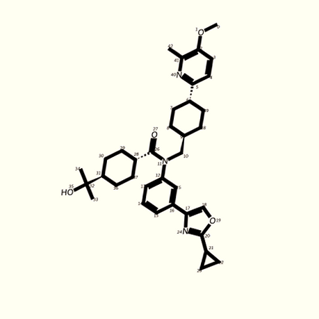 COc1ccc([C@H]2CC[C@H](CN(c3cccc(-c4coc(C5CC5)n4)c3)C(=O)[C@H]3CC[C@H](C(C)(C)O)CC3)CC2)nc1C